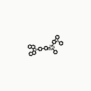 c1ccc(C2=NC(c3ccc4c5ccccc5n(-c5ccccc5)c4c3)=NC(c3ccc(-c4ccc(-n5c6ccc7ccccc7c6c6c7ccccc7ccc65)cc4)cc3)N2)cc1